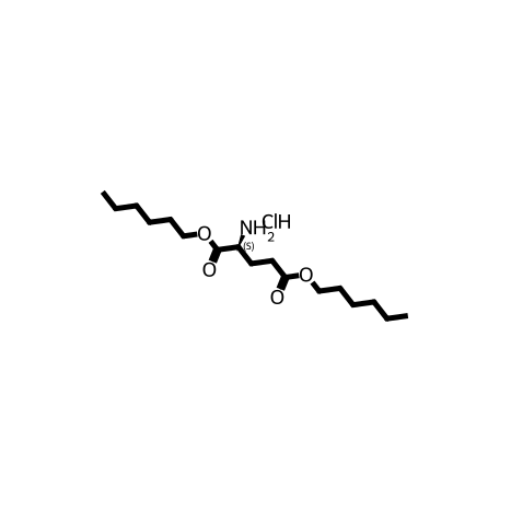 CCCCCCOC(=O)CC[C@H](N)C(=O)OCCCCCC.Cl